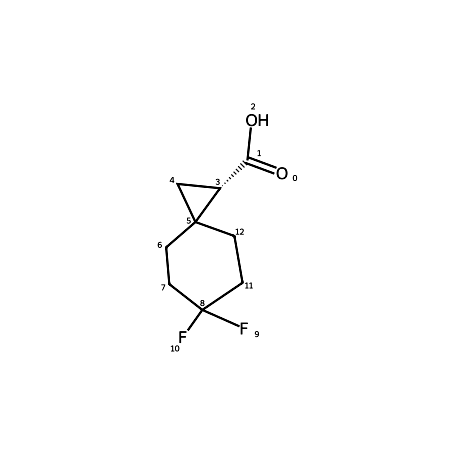 O=C(O)[C@H]1CC12CCC(F)(F)CC2